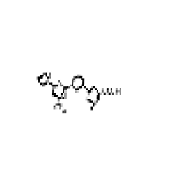 O=C(O)c1cc(F)cc(-c2cccc(-c3nc(-c4ccco4)cc(C(F)(F)F)n3)c2)c1